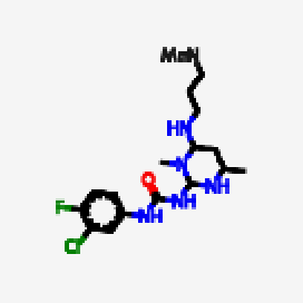 CNCCCNC1CC(C)NC(NC(=O)Nc2ccc(F)c(Cl)c2)N1C